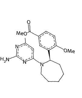 COC(=O)c1ccc(OC)c([C@H]2CCCCCN2c2cc(C)nc(N)n2)c1